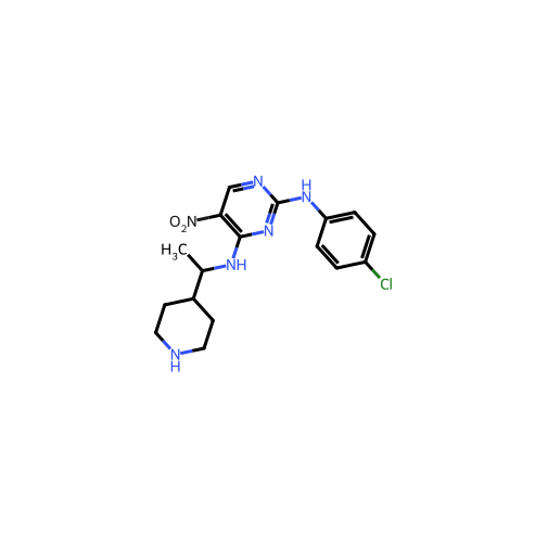 CC(Nc1nc(Nc2ccc(Cl)cc2)ncc1[N+](=O)[O-])C1CCNCC1